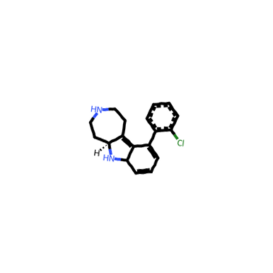 Clc1ccccc1C1=CC=CC2N[C@H]3CCNCCC3=C12